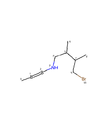 CB=BNCC(C)C(C)CBr